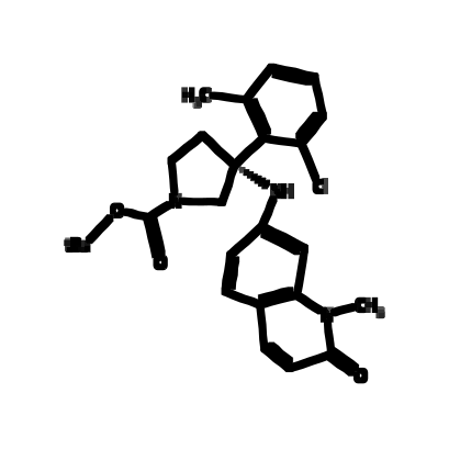 Cc1cccc(Cl)c1[C@]1(Nc2ccc3ccc(=O)n(C)c3c2)CCN(C(=O)OC(C)(C)C)C1